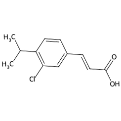 CC(C)c1ccc(C=CC(=O)O)cc1Cl